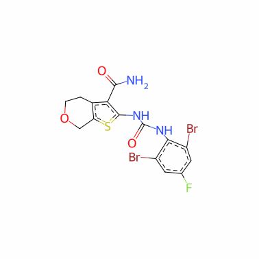 NC(=O)c1c(NC(=O)Nc2c(Br)cc(F)cc2Br)sc2c1CCOC2